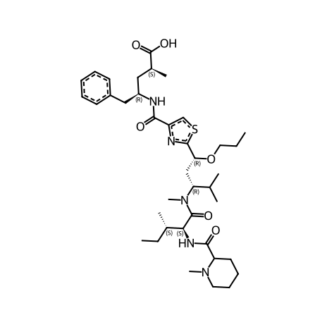 CCCO[C@H](C[C@H](C(C)C)N(C)C(=O)[C@@H](NC(=O)C1CCCCN1C)[C@@H](C)CC)c1nc(C(=O)N[C@@H](Cc2ccccc2)C[C@H](C)C(=O)O)cs1